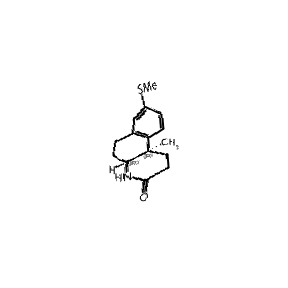 CSc1ccc2c(c1)CC[C@H]1NC(=O)CC[C@]21C